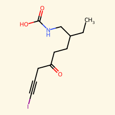 CCC(CCC(=O)CC#CI)CNC(=O)O